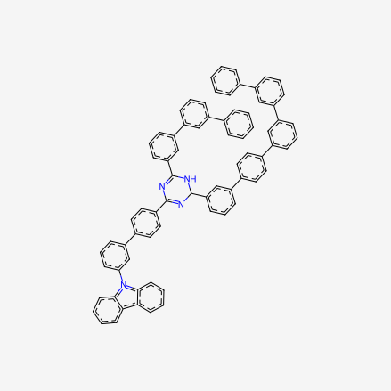 c1ccc(-c2cccc(-c3cccc(C4=NC(c5ccc(-c6cccc(-n7c8ccccc8c8ccccc87)c6)cc5)=NC(c5cccc(-c6ccc(-c7cccc(-c8cccc(-c9ccccc9)c8)c7)cc6)c5)N4)c3)c2)cc1